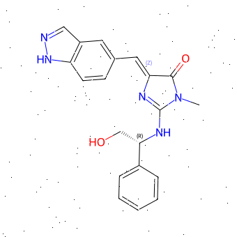 CN1C(=O)/C(=C/c2ccc3[nH]ncc3c2)N=C1N[C@@H](CO)c1ccccc1